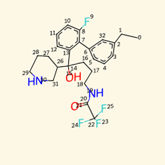 CCc1cccc(-c2c(F)cccc2C(O)(CCCNC(=O)C(F)(F)F)C2CCCNC2)c1